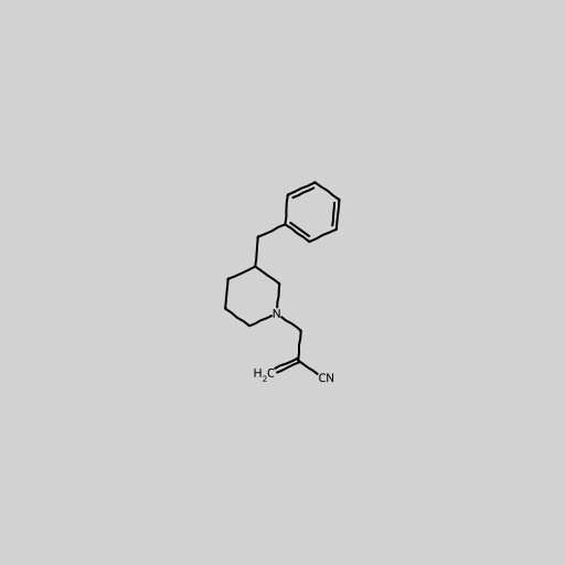 C=C(C#N)CN1CCCC(Cc2ccccc2)C1